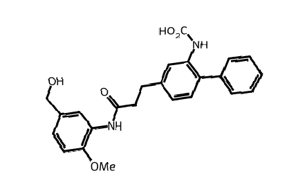 COc1ccc(CO)cc1NC(=O)CCc1ccc(-c2ccccc2)c(NC(=O)O)c1